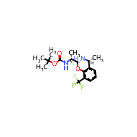 C[C@H](COc1c([C@@H](C)N)cccc1C(F)(F)F)NC(=O)OC(C)(C)C